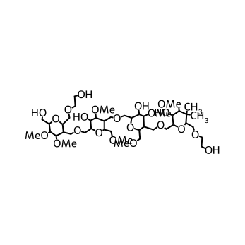 COCC1OC(COCC2C(COCCO)OC(CO)C(OC)C2OC)C(O)C(OC)C1COCC1OC(COC)C(COCC2OC(COCCO)C(C)(C)C(OC)C2O)C(OC)C1O